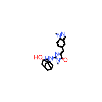 CN1C(=O)/C(=C/c2ccc3c(cnn3C)c2)N=C1NC12CC3CC(CC(O)(C3)C1)C2